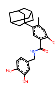 Cc1cc(O)c(C(=O)NCc2ccc(O)c(O)c2)cc1C12CC3CC(CC(C3)C1)C2